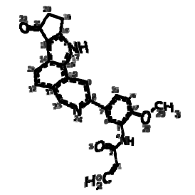 C=CC(=O)Nc1cc(-c2cc3c(ccc4c5c([nH]c43)CCC5=O)cn2)ccc1OC